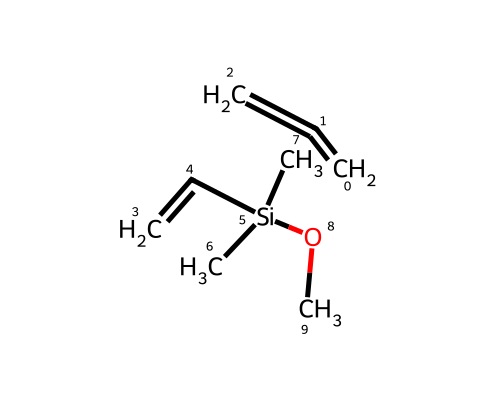 C=C=C.C=C[Si](C)(C)OC